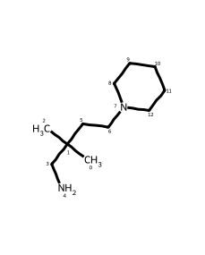 CC(C)(CN)CCN1CCCCC1